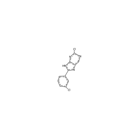 Clc1cccc(-c2nc3cnc(Cl)nc3[nH]2)c1